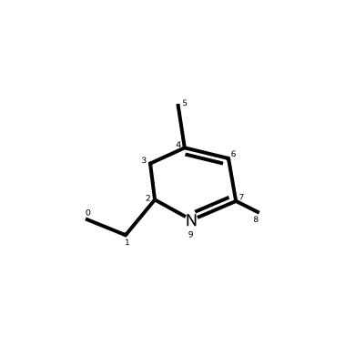 CCC1CC(C)=CC(C)=N1